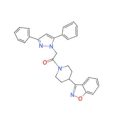 O=C(Cn1nc(-c2ccccc2)cc1-c1ccccc1)N1CCC(c2noc3ccccc23)CC1